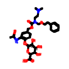 CC(=O)Nc1cc(COC(=O)N(CCN(C)C)COCCc2ccccc2)ccc1OC1OC(C(=O)O)C(O)[C@H](O)[C@@H]1O